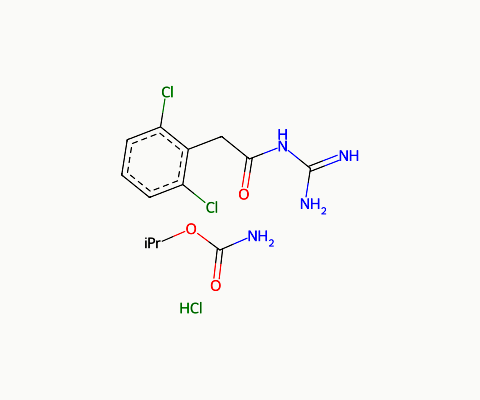 CC(C)OC(N)=O.Cl.N=C(N)NC(=O)Cc1c(Cl)cccc1Cl